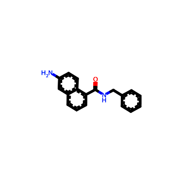 Nc1ccc2c(C(=O)NCc3ccccc3)cccc2c1